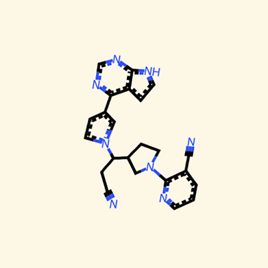 N#CCC(C1CCN(c2ncccc2C#N)C1)n1ccc(-c2ncnc3[nH]ccc23)c1